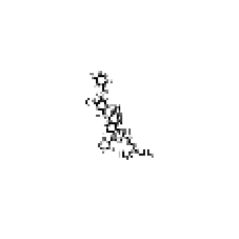 CN(C)C/C=C/C(=O)Nc1c(O[C@H]2CCOC2)ccc2c(Nc3ccc(OCc4cccc(F)c4)c(Cl)c3)c(C#N)cnc12